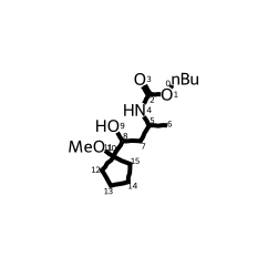 CCCCOC(=O)NC(C)CC(O)C1(OC)CCCC1